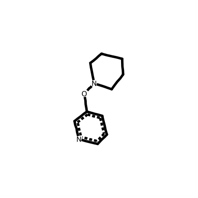 c1cncc(ON2CCCCC2)c1